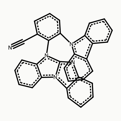 N#Cc1cccc(-n2c3ccccc3c3ccccc32)c1-n1c2ccccc2n2c3ccccc3nc12